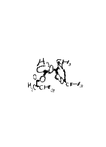 CC(=O)CN(C)C(=O)OC(C)OC(=O)C(C)C